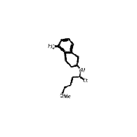 CCC(CCCOC)NC1CCc2c(O)cccc2C1